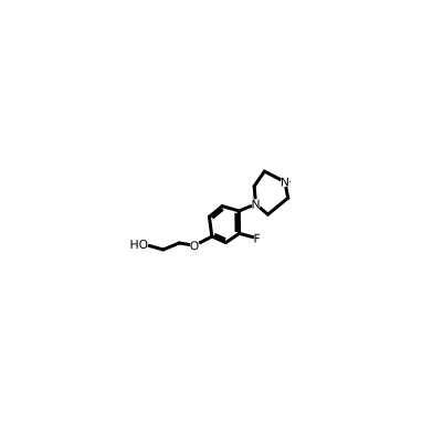 OCCOc1ccc(N2CC[N]CC2)c(F)c1